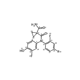 NC(=O)C1(C(=O)N(c2ccc(O)c(F)c2)c2ccc(F)cc2F)CC1